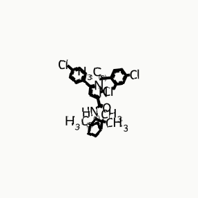 C[C@H](c1ccc(Cl)cc1Cl)n1nc(C(=O)N[C@@H]2C(C)(C)C3CC[C@@]2(C)C3)cc1-c1ccc(Cl)cc1